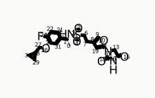 C[C@@H](NS(=O)(=O)CCc1coc(N2CC(=O)NC2=O)c1)c1ccc(F)c(OCC2CC2)c1